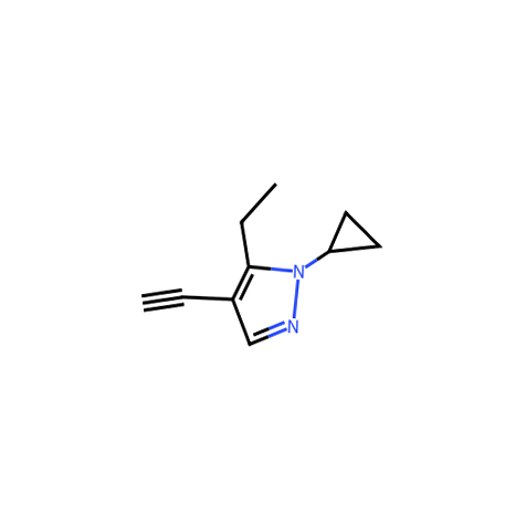 C#Cc1cnn(C2CC2)c1CC